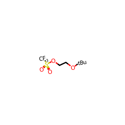 CC(C)(C)OCCOS(=O)(=O)C(F)(F)F